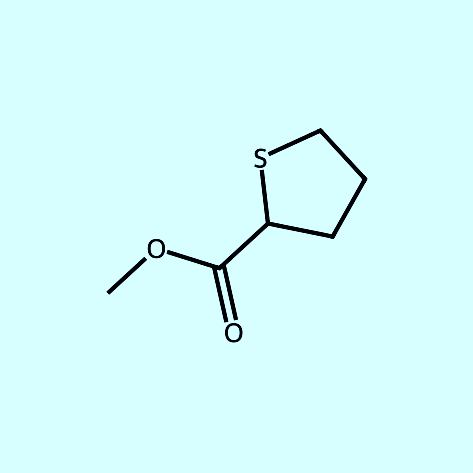 COC(=O)C1CCCS1